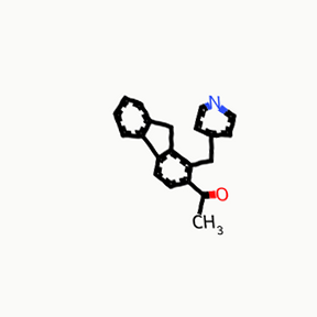 CC(=O)c1ccc2c(c1Cc1ccncc1)Cc1ccccc1-2